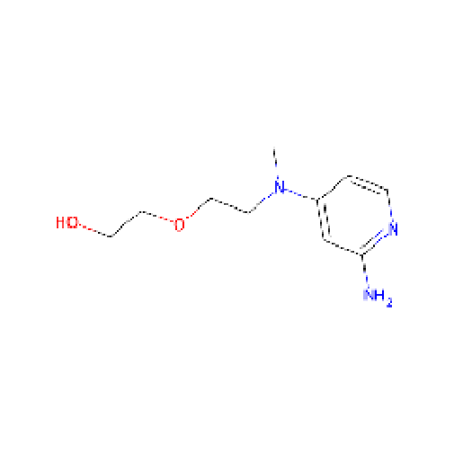 CN(CCOCCO)c1ccnc(N)c1